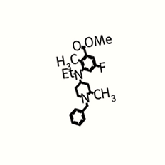 CCN(c1cc(F)cc(C(=O)OC)c1C)C1CCN(Cc2ccccc2)C(C)C1